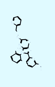 CCOc1cccc(-c2nc3ncc(NSCc4ccccn4)nc3n2-c2c(OC)cccc2OC)n1